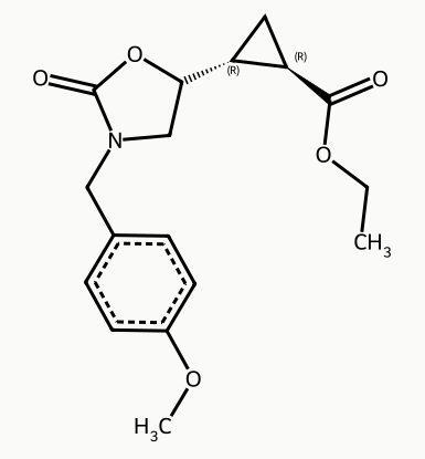 CCOC(=O)[C@@H]1C[C@H]1C1CN(Cc2ccc(OC)cc2)C(=O)O1